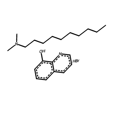 Br.CCCCCCCCCCN(C)C.Oc1cccc2cccnc12